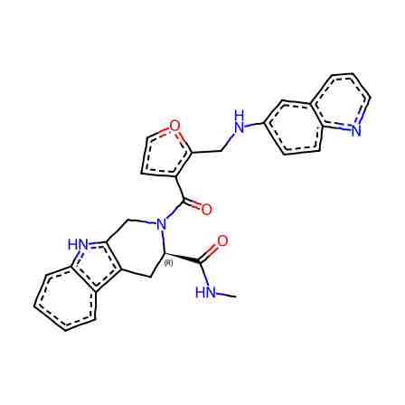 CNC(=O)[C@H]1Cc2c([nH]c3ccccc23)CN1C(=O)c1ccoc1CNc1ccc2ncccc2c1